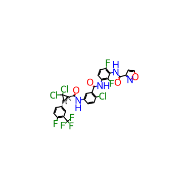 O=C(Nc1c(F)ccc(NC(=O)c2cc(NC(=O)[C@H]3[C@H](c4ccc(F)c(C(F)(F)F)c4)C3(Cl)Cl)ccc2Cl)c1F)c1ccon1